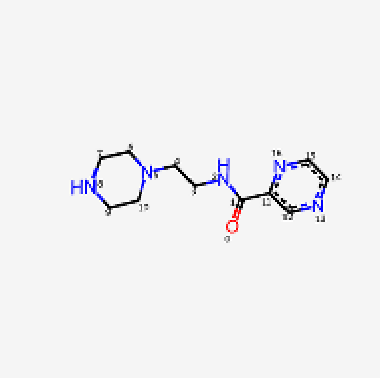 O=C(NCCN1CCNCC1)c1cnccn1